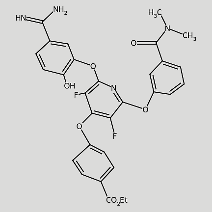 CCOC(=O)c1ccc(Oc2c(F)c(Oc3cccc(C(=O)N(C)C)c3)nc(Oc3cc(C(=N)N)ccc3O)c2F)cc1